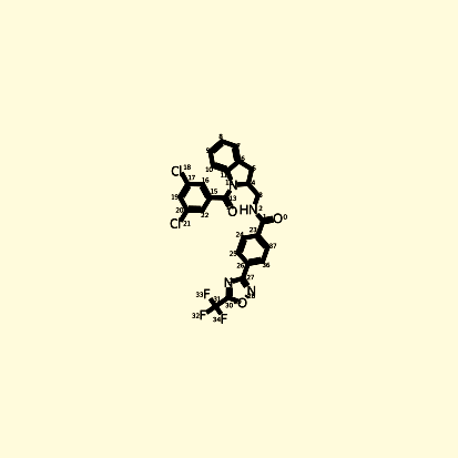 O=C(NCC1Cc2ccccc2N1C(=O)c1cc(Cl)cc(Cl)c1)c1ccc(-c2noc(C(F)(F)F)n2)cc1